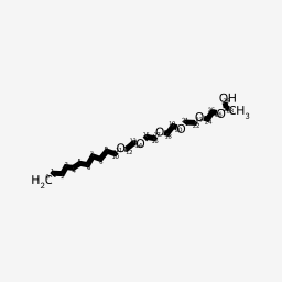 C=CCCCCCCCCCOCCOCCOCCOCCOCCOC(C)O